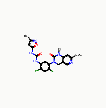 CCN1C(=O)N(c2cc(NC(=O)Nc3cc(C(C)(C)C)no3)c(F)cc2F)Cc2cnc(NC)cc21